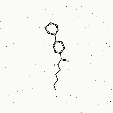 CCCCCNC(=O)c1ccc(-c2cccnc2)cc1